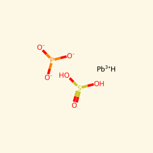 O=S(O)O.[O-]P([O-])[O-].[PbH+3]